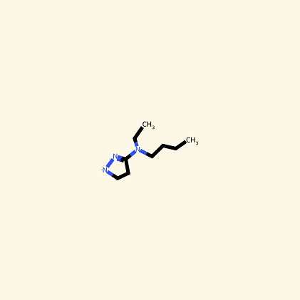 CCCCN(CC)C1=N[N]CC1